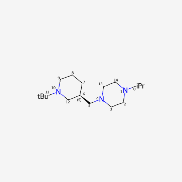 CC(C)N1CCN(C[C@@H]2CCCN(C(C)(C)C)C2)CC1